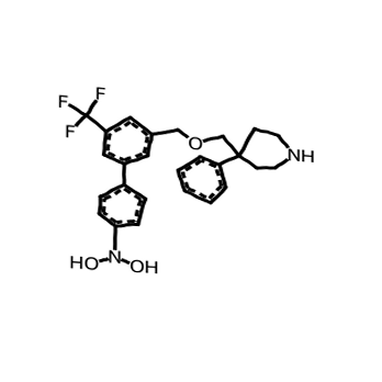 ON(O)c1ccc(-c2cc(COCC3(c4ccccc4)CCNCC3)cc(C(F)(F)F)c2)cc1